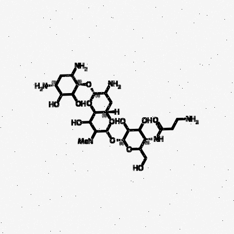 CNC1C(O[C@H]2OC(CO)[C@@H](NC(=O)CCN)C(O)C2O)O[C@H]2CC(N)[C@@H](O[C@@H]3C(N)C[C@@H](N)C(O)C3O)OC2C1O